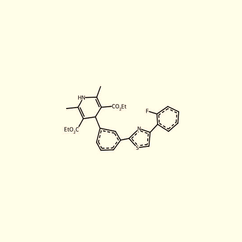 CCOC(=O)C1=C(C)NC(C)=C(C(=O)OCC)C1c1cccc(-c2nc(-c3ccccc3F)cs2)c1